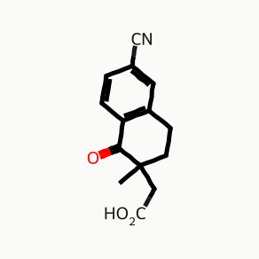 CC1(CC(=O)O)CCc2cc(C#N)ccc2C1=O